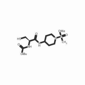 COP(C)(=O)N1CCC(NC(=O)[C@H](CS)NC(=O)OCC(C)C)CC1